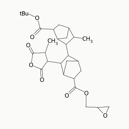 CC1C(=O)OC(=O)C1C1C2CC(CC2C(=O)OCC2CO2)C1C1C(C)C2CC(C(=O)OC(C)(C)C)C1C2